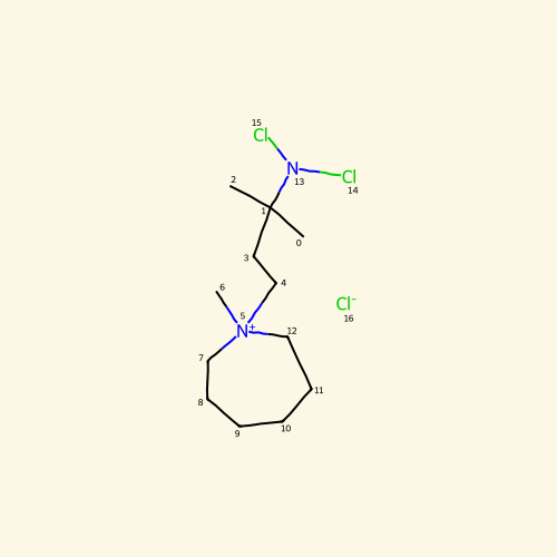 CC(C)(CC[N+]1(C)CCCCCC1)N(Cl)Cl.[Cl-]